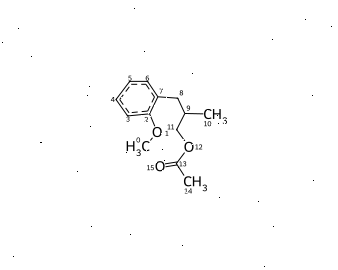 COc1ccccc1CC(C)COC(C)=O